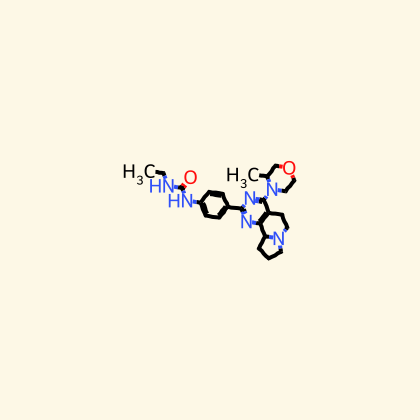 CCNC(=O)Nc1ccc(-c2nc3c(c(N4CCOCC4C)n2)CCN2CCCC32)cc1